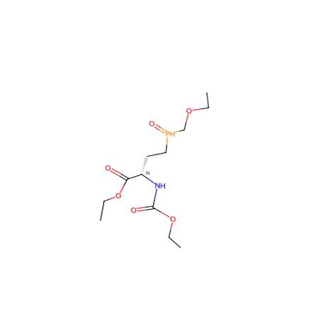 CCOC[PH](=O)CC[C@H](NC(=O)OCC)C(=O)OCC